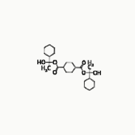 CC(O)(OC(=O)C1CCC(C(=O)OC(C)(O)C2CCCCC2)CC1)C1CCCCC1